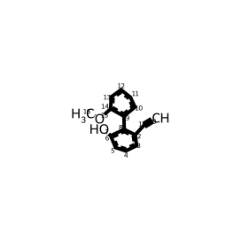 C#Cc1cccc(O)c1-c1ccccc1OC